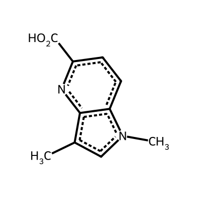 Cc1cn(C)c2ccc(C(=O)O)nc12